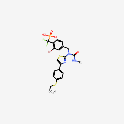 CCNC(=O)N(Cc1ccc(C(F)(F)P(=O)(O)O)c(Br)c1)c1nc(-c2ccc(SCC(=O)O)cc2)cs1